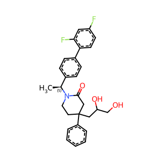 C[C@@H](c1ccc(-c2ccc(F)cc2F)cc1)N1CCC(CC(O)CO)(c2ccccc2)CC1=O